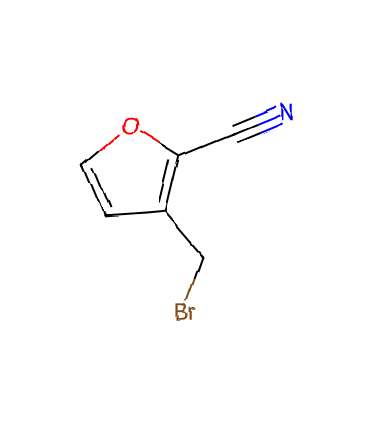 N#Cc1occc1CBr